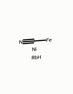 N#[C][Fe].[Ni].[RbH]